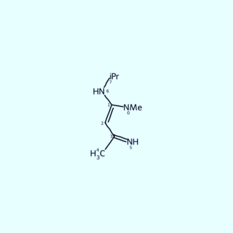 CN/C(=C\C(C)=N)NC(C)C